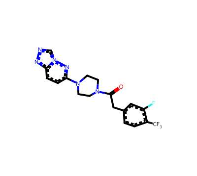 O=C(Cc1ccc(C(F)(F)F)c(F)c1)N1CCN(c2ccc3nncn3n2)CC1